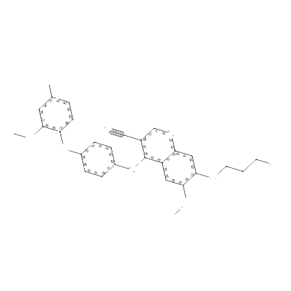 COc1cc2c(Nc3ccc(Oc4ccc(F)cc4OC)cc3)c(C#N)cnc2cc1OCCCCl